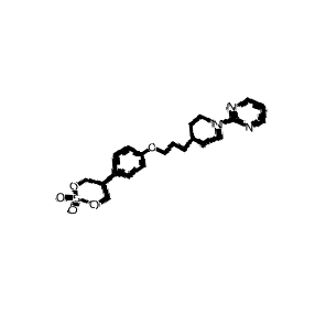 O=S1(=O)OCC(c2ccc(OCCCC3CCN(c4ncccn4)CC3)cc2)CO1